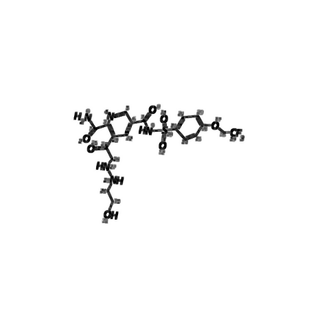 NC(=O)c1ncc(C(=O)NS(=O)(=O)c2ccc(OCC(F)(F)F)cc2)cc1C(=O)CNNCCO